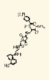 NCC(=O)C(CSC1CC(=O)N(CC(=O)NCCNc2cccc3c(S)cccc23)C1=O)NC(=O)c1ccc(N)cc1